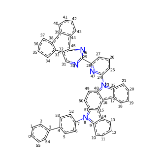 c1ccc(-c2ccc(-n3c4ccccc4c4c5c6ccccc6n(-c6cccc(-c7ncc8c9ccccc9c9ccccc9c8n7)n6)c5ccc43)cc2)cc1